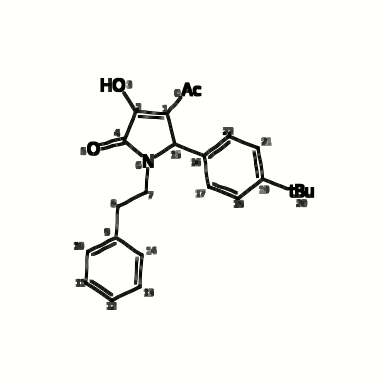 CC(=O)C1=C(O)C(=O)N(CCc2ccccc2)C1c1ccc(C(C)(C)C)cc1